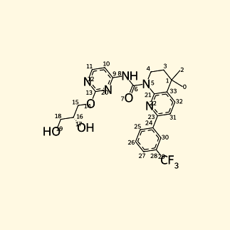 CC1(C)CCN(C(=O)Nc2ccnc(OC[C@H](O)CO)n2)c2nc(-c3cccc(C(F)(F)F)c3)ccc21